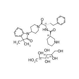 CC1(C)C(=O)N(C2CCN(C(=O)[C@H](CCc3ccccc3)NC(=O)[C@@H]3CCCNC3)CC2)c2ccccc21.O=C(O)[C@H](O)[C@@H](O)[C@H](O)[C@H](O)CO